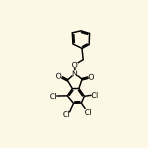 O=C1c2c(Cl)c(Cl)c(Cl)c(Cl)c2C(=O)N1OCc1ccccc1